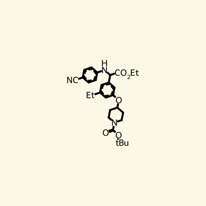 CCOC(=O)C(Nc1ccc(C#N)cc1)c1cc(CC)cc(OC2CCN(C(=O)OC(C)(C)C)CC2)c1